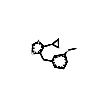 COc1cccc(Cc2s[c]nc2C2CC2)c1